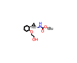 CC(C)(C)OC(=O)NC[C@H]1C[C@@H]1c1ccccc1OCCO